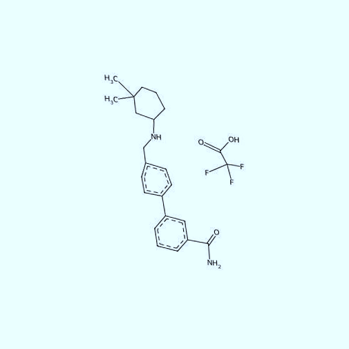 CC1(C)CCCC(NCc2ccc(-c3cccc(C(N)=O)c3)cc2)C1.O=C(O)C(F)(F)F